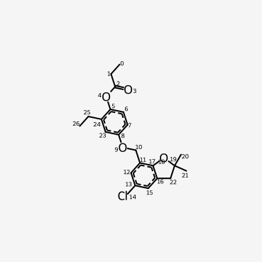 CCC(=O)Oc1ccc(OCc2cc(Cl)cc3c2OC(C)(C)C3)cc1CC